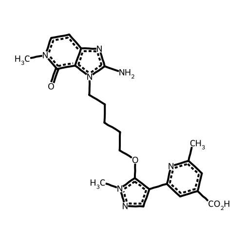 Cc1cc(C(=O)O)cc(-c2cnn(C)c2OCCCCCn2c(N)nc3ccn(C)c(=O)c32)n1